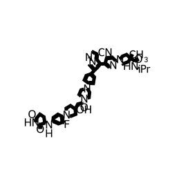 CC(C)NC(=O)C1(C)CCN(c2ccc(-c3cc(-c4ccc(N5CCN(C(=O)CC6(O)CCN(c7ccc(NC8CCC(=O)NC8=O)cc7F)CC6)CC5)cc4)cn4ncc(C#N)c34)cn2)CC1